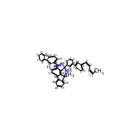 C/C=C\C=C/C1=CCCC(c2cccc(C(/N=C(\N)c3ccc4sc5ccccc5c4c3)(NC)c3cccc4c3Cc3ccccc3-4)c2)=C1